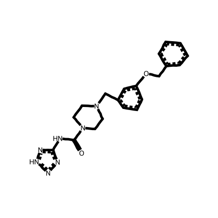 O=C(Nc1nn[nH]n1)N1CCN(Cc2cccc(OCc3ccccc3)c2)CC1